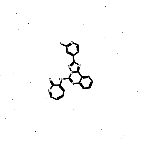 O=c1nccccc1Nc1nc2ccccc2c2nc(-c3ccnc(F)c3)nn12